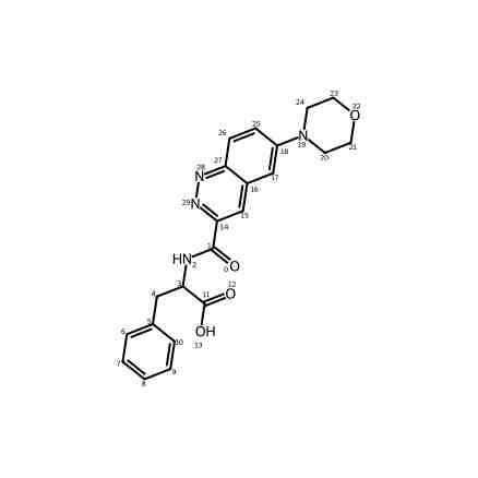 O=C(NC(Cc1ccccc1)C(=O)O)c1cc2cc(N3CCOCC3)ccc2nn1